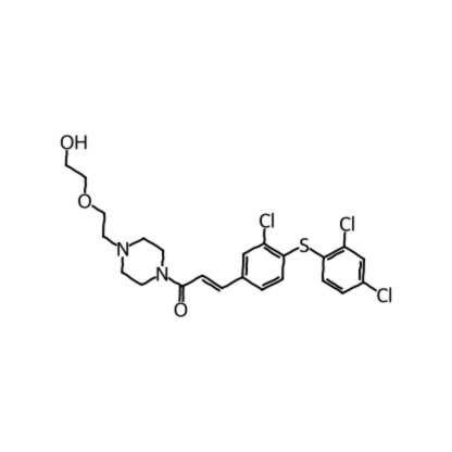 O=C(/C=C/c1ccc(Sc2ccc(Cl)cc2Cl)c(Cl)c1)N1CCN(CCOCCO)CC1